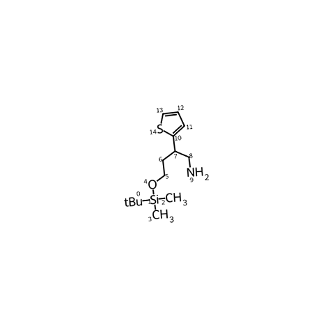 CC(C)(C)[Si](C)(C)OCCC(CN)c1cccs1